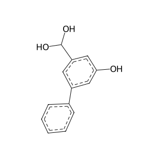 Oc1cc(-c2ccccc2)cc(C(O)O)c1